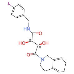 O=C(NCc1ccc(I)cc1)[C@H](O)[C@@H](O)C(=O)N1CCC2=CCCC=C2C1